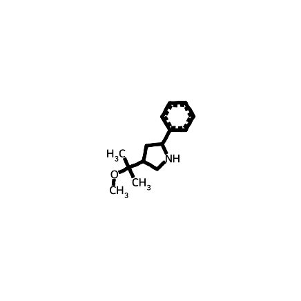 COC(C)(C)C1CNC(c2ccccc2)C1